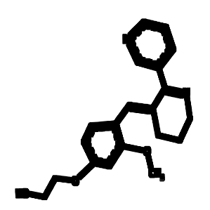 COc1cc(OCCO)ccc1/C=C1\CCCN=C1c1cccnc1